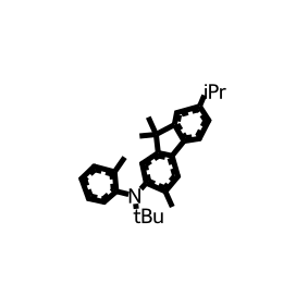 Cc1ccccc1N(c1cc2c(cc1C)-c1ccc(C(C)C)cc1C2(C)C)C(C)(C)C